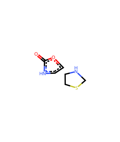 C1CSCN1.O=c1[nH]cco1